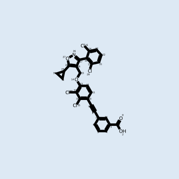 O=C(O)c1cccc(C#Cc2ccc(OCc3c(-c4c(Cl)cccc4Cl)noc3C3CC3)c(Cl)c2Cl)c1